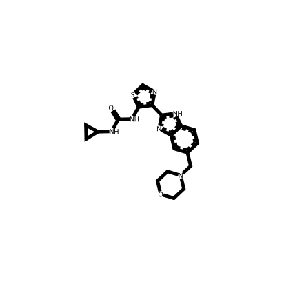 O=C(Nc1scnc1-c1nc2cc(CN3CCOCC3)ccc2[nH]1)NC1CC1